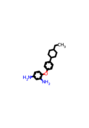 CCC1CCC(c2ccc(Oc3ccc(N)cc3N)cc2)CC1